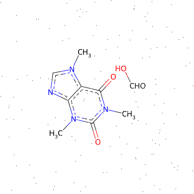 Cn1c(=O)c2c(ncn2C)n(C)c1=O.O=CO